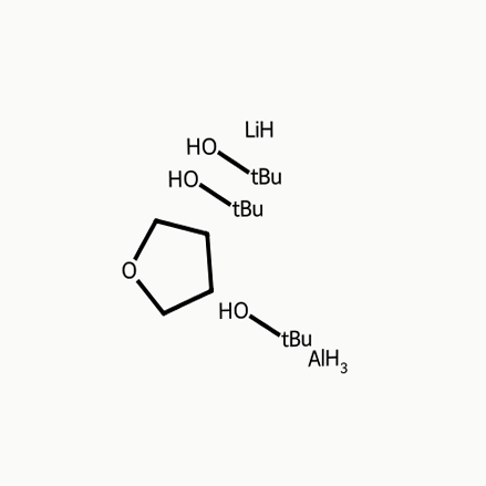 C1CCOC1.CC(C)(C)O.CC(C)(C)O.CC(C)(C)O.[AlH3].[LiH]